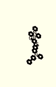 c1ccc(-c2ccc(N(c3ccccc3)c3ccc4cc5c(cc4c3)sc3cc4c(cc35)Oc3cccc5c3B4c3ccccc3N5c3ccccc3)cc2)cc1